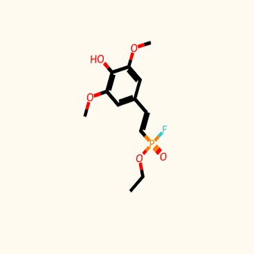 CCOP(=O)(F)/C=C/c1cc(OC)c(O)c(OC)c1